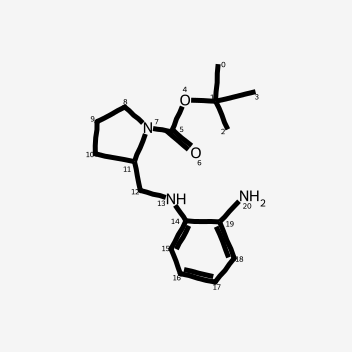 CC(C)(C)OC(=O)N1CCCC1CNc1ccccc1N